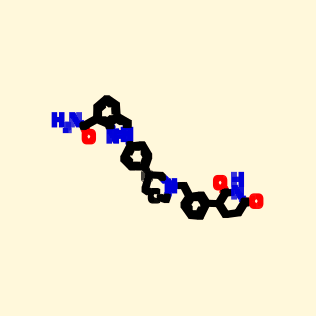 NC(=O)c1cccc2cn(-c3ccc([C@@H]4CCCN(Cc5cccc(C6CCC(=O)NC6=O)c5)C4)cc3)nc12